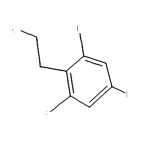 Fc1cc(F)c([CH]CCl)c(F)c1